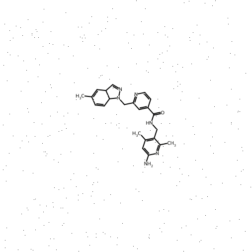 CC1=CC2C=NN(Cc3cc(C(=O)NCc4c(C)cc(N)nc4C)ccn3)C2C=C1